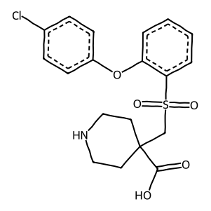 O=C(O)C1(CS(=O)(=O)c2ccccc2Oc2ccc(Cl)cc2)CCNCC1